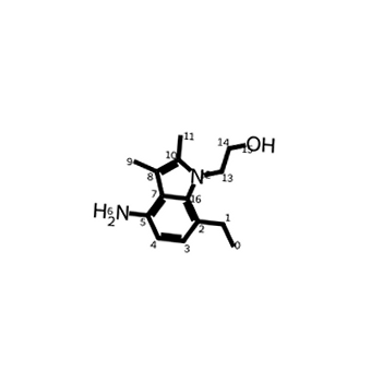 CCc1ccc(N)c2c(C)c(C)n(CCO)c12